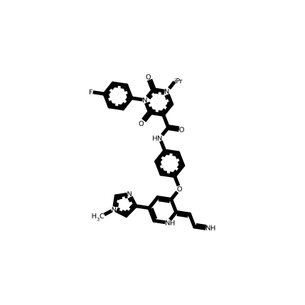 CC(C)n1cc(C(=O)Nc2ccc(OC3=CC(c4cn(C)cn4)=CN/C3=C\C=N)cc2)c(=O)n(-c2ccc(F)cc2)c1=O